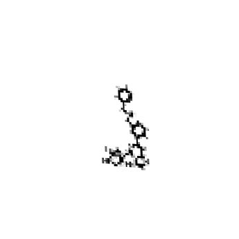 c1ccc(CNCc2cc(-c3cc4nccn4c(N4C[C@@H]5C[C@H]4CN5)n3)ccn2)cc1